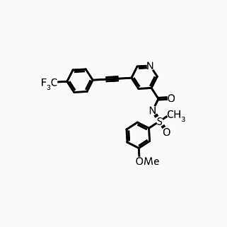 COc1cccc(S(C)(=O)=NC(=O)c2cncc(C#Cc3ccc(C(F)(F)F)cc3)c2)c1